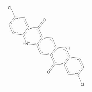 O=c1c2cc(Cl)ccc2[nH]c2cc3c(=O)c4cc(Cl)ccc4[nH]c3cc12